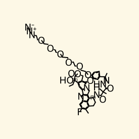 CC[C@]1(O)C(=O)OCc2c1cc1n(c2=O)Cc2c-1nc1cc(F)c(C)c3c1c2[C@H](NC(=O)C(C)(C)C(=O)NN=C(C)c1ccc(OCCOCCOCCOCCOCCOCCN=[N+]=[N-])cc1)CC3